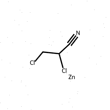 N#CC(Cl)CCl.[Zn]